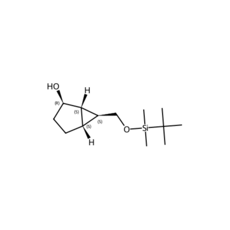 CC(C)(C)[Si](C)(C)OC[C@H]1[C@@H]2CC[C@@H](O)[C@@H]21